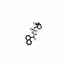 CN(OS(=O)(=O)CC12CCC(CC1=O)C2(C)C)C(=O)c1cccc2ccccc12